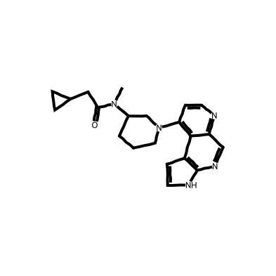 CN(C(=O)CC1CC1)C1CCCN(c2ccnc3cnc4[nH]ccc4c23)C1